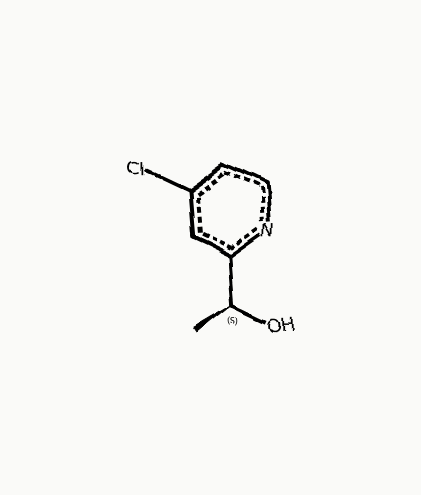 C[C@H](O)c1cc(Cl)ccn1